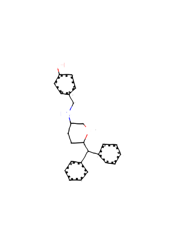 Oc1ccc(CNC2CCC(C(c3ccccc3)c3ccccc3)OC2)cc1